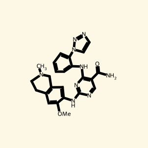 COc1cc2c(cc1Nc1ncc(C(N)=O)c(Nc3ccccc3-n3ccnn3)n1)CN(C)CC2